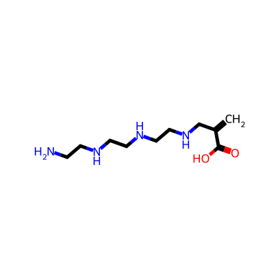 C=C(CNCCNCCNCCN)C(=O)O